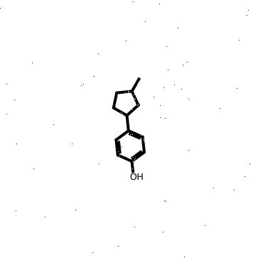 CC1CCC(c2ccc(O)cc2)C1